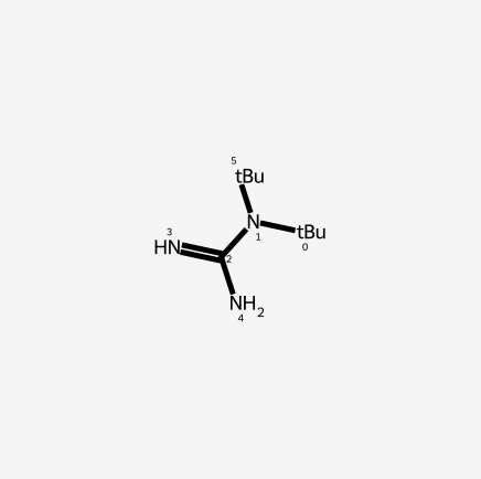 CC(C)(C)N(C(=N)N)C(C)(C)C